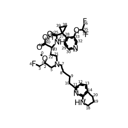 CO[C@H](CF)CN(CCCCc1ccc2c(n1)NCCC2)CC[C@H](NC(=O)C1(c2ccncc2OC(F)F)CC1)C(=O)O